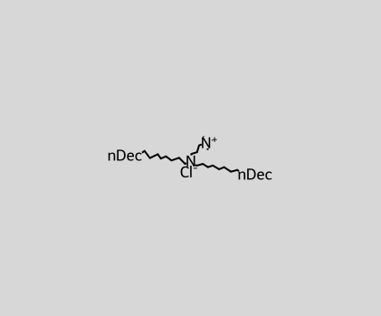 CCCCCCCCCCCCCCCCCCN(CCCCCCCCCCCCCCCCCC)CCC[N+](C)(C)C.[Cl-]